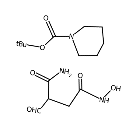 CC(C)(C)OC(=O)N1CCCCC1.NC(=O)C(C=O)CC(=O)NO